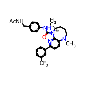 CC(=O)NCc1ccc(NC(=O)N2c3nc(-c4cccc(C(F)(F)F)c4)ccc3N(C)CCC[C@H]2C)cc1